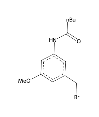 CCCCC(=O)Nc1cc(CBr)cc(OC)c1